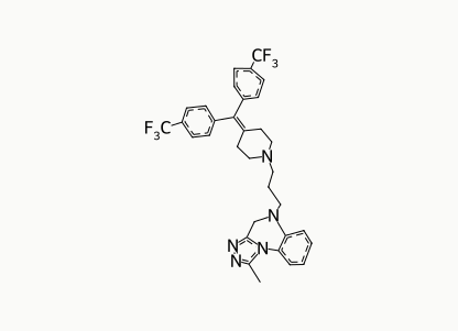 Cc1nnc2n1-c1ccccc1N(CCCN1CCC(=C(c3ccc(C(F)(F)F)cc3)c3ccc(C(F)(F)F)cc3)CC1)C2